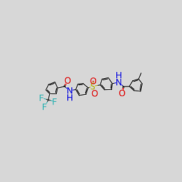 Cc1cccc(C(=O)Nc2ccc(S(=O)(=O)c3ccc(NC(=O)c4cccc(C(F)(F)F)c4)cc3)cc2)c1